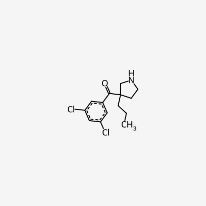 CCCC1(C(=O)c2cc(Cl)cc(Cl)c2)CCNC1